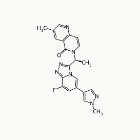 Cc1cnc2ccn([C@@H](C)c3nnc4c(F)cc(-c5cnn(C)c5)cn34)c(=O)c2c1